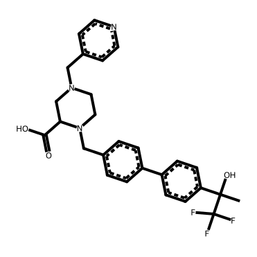 CC(O)(c1ccc(-c2ccc(CN3CCN(Cc4ccncc4)CC3C(=O)O)cc2)cc1)C(F)(F)F